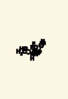 C[C@]1(O)CC[C@@H](Nc2nc(OC(F)F)c3c(-c4ccn5nccc5c4)ccn3n2)CC1